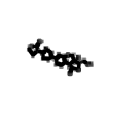 O=C1OCCN1c1ccc(-c2ccc3c(c2)OC[C@H]2[C@H](CO)OC(=O)N32)cn1